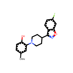 COc1c[c]c(O)c(N2CCC(c3noc4cc(F)ccc34)CC2)c1